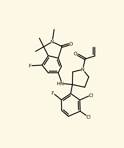 C=CC(=O)N1CCC(Nc2cc(F)c3c(c2)C(=O)N(C)C3(C)C)(c2c(F)ccc(Cl)c2Cl)C1